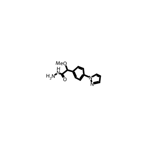 COC(C(=O)NN)c1ccc(-n2cccn2)cc1